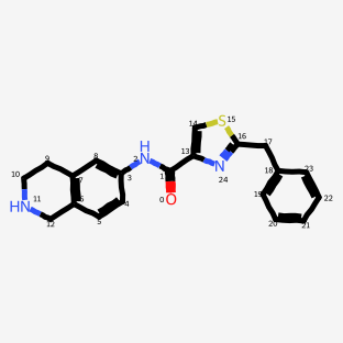 O=C(Nc1ccc2c(c1)CCNC2)c1csc(Cc2ccccc2)n1